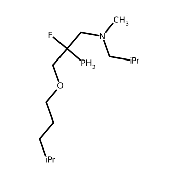 CC(C)CCCOCC(F)(P)CN(C)CC(C)C